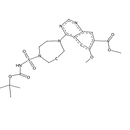 COC(=O)c1cc2ncnc(N3CCCN(S(=O)(=O)NC(=O)OC(C)(C)C)CC3)c2cc1OC